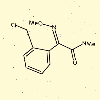 CNC(=O)/C(=N/OC)c1ccccc1CCl